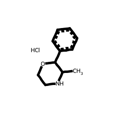 CC1NCCOC1c1ccccc1.Cl